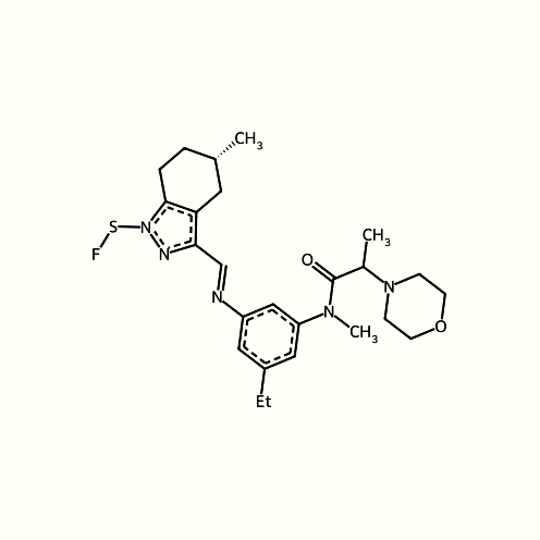 CCc1cc(/N=C/c2nn(SF)c3c2C[C@@H](C)CC3)cc(N(C)C(=O)C(C)N2CCOCC2)c1